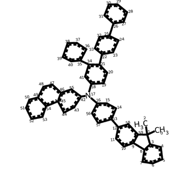 CC1(C)c2ccccc2-c2ccc(-c3ccc(N(c4ccc(-c5ccc(-c6ccccc6)cc5)c(-c5ccccc5)c4)c4ccc5c(ccc6ccccc65)c4)cc3)cc21